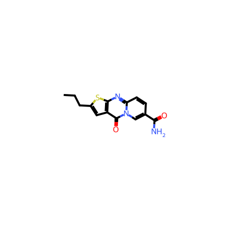 CCCc1cc2c(=O)n3cc(C(N)=O)ccc3nc2s1